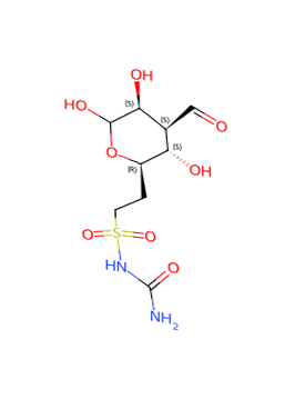 NC(=O)NS(=O)(=O)CC[C@H]1OC(O)[C@@H](O)[C@@H](C=O)[C@@H]1O